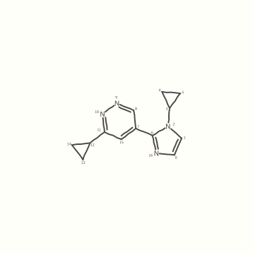 c1cn(C2CC2)c(-c2cnnc(C3CC3)c2)n1